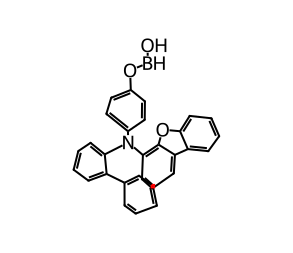 OBOc1ccc(N(c2ccccc2-c2ccccc2)c2cccc3c2oc2ccccc23)cc1